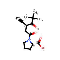 C#CC(CC(=O)N1CCC[C@H]1C(=O)O)C(=O)C(C)(C)C